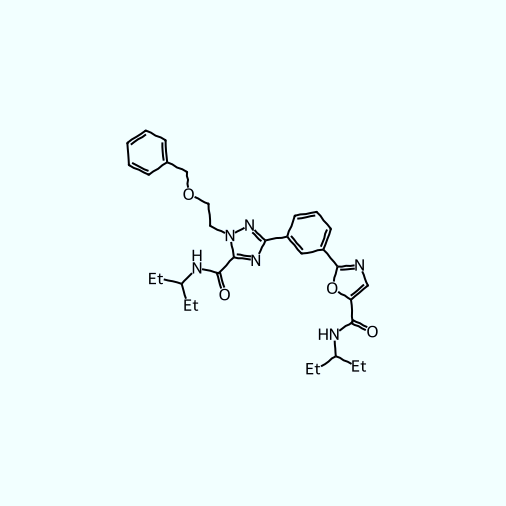 CCC(CC)NC(=O)c1cnc(-c2cccc(-c3nc(C(=O)NC(CC)CC)n(CCOCc4ccccc4)n3)c2)o1